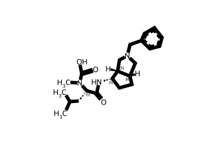 CC(C)C[C@@H](C(=O)N[C@H]1CC[C@H]2CN(Cc3ccccc3)C[C@H]21)N(C)C(=O)O